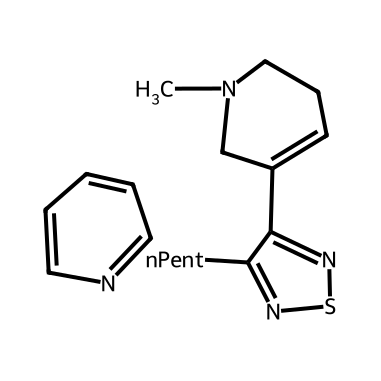 CCCCCc1nsnc1C1=CCCN(C)C1.c1ccncc1